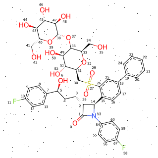 O=C1[C@H](CC[C@H](O)c2ccc(F)cc2)[C@@H](c2ccc(-c3ccccc3)cc2S(=O)(=O)C[C@@H]2O[C@H](CO)C(O[C@@H]3O[C@H](CO)[C@@H](O)[C@H](O)[C@H]3O)[C@H](O)[C@H]2O)N1c1ccc(F)cc1